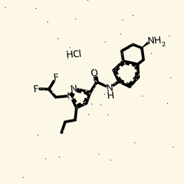 CCCc1cc(C(=O)Nc2ccc3c(c2)CC[C@@H](N)C3)nn1CC(F)F.Cl